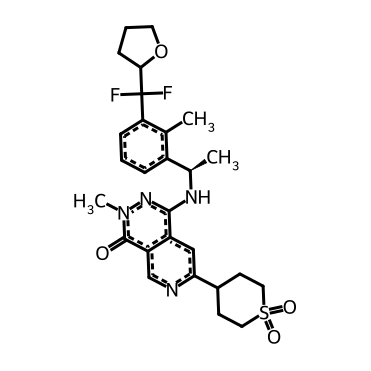 Cc1c([C@@H](C)Nc2nn(C)c(=O)c3cnc(C4CCS(=O)(=O)CC4)cc23)cccc1C(F)(F)C1CCCO1